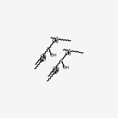 CCCCCCCCCCSC(CCCC)C(=O)OCCCCCCN(CCCCO)CCCCCC(OCCCCCCCC)O[Si](C)(C)O[Si](C)(C)OCCCCCCCC.CCCCCCCCCCSC(CCCC)C(=O)OCCCCCCN(CCCCO)CCCCCC(OCCCCCCCC)O[Si](C)(C)O[Si](C)(C)OCCCCCCCC